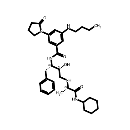 CCCCNc1cc(C(=O)N[C@@H](Cc2ccccc2)[C@H](O)CN[C@@H](C)C(=O)NC2CCCCC2)cc(N2CCCC2=O)c1